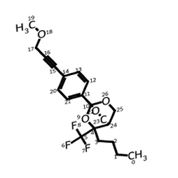 CCCCC1(C(F)(F)F)OC2(c3ccc(C#CCOC)cc3)OCC1CO2